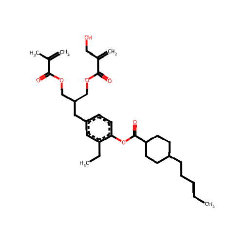 C=C(C)C(=O)OCC(COC(=O)C(=C)CO)Cc1ccc(OC(=O)C2CCC(CCCCC)CC2)c(CC)c1